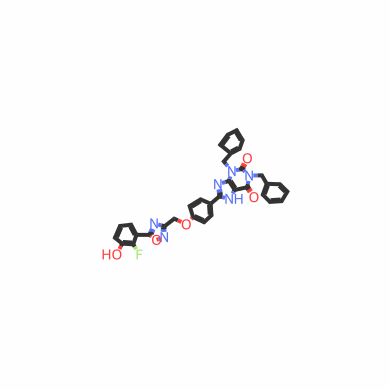 O=c1c2[nH]c(-c3ccc(OCc4noc(-c5cccc(O)c5F)n4)cc3)nc2n(Cc2ccccc2)c(=O)n1Cc1ccccc1